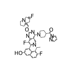 CCc1c(F)ccc2cc(O)cc(-c3ncc4c(N5CCC(C(=O)n6cccn6)CC5)nc(OC[C@@]56CCCN5C[C@H](F)C6)nc4c3F)c12